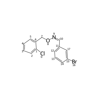 Clc1ccccc1CO/N=[C]\c1cccc(Br)c1